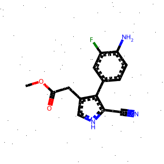 COC(=O)Cc1c[nH]c(C#N)c1-c1ccc(N)c(F)c1